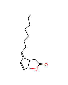 CCCCCCCC=C1C=CC2OC(=O)CC12